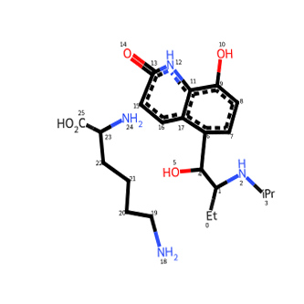 CCC(NC(C)C)C(O)c1ccc(O)c2[nH]c(=O)ccc12.NCCCCC(N)C(=O)O